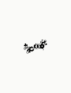 CN1C(=O)C(F)(F)c2c(Sc3ncc(N4CCC5(CC4)COC[C@H]5N[S@+]([O-])C(C)(C)C)nc3N)cccc21